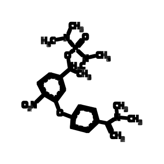 C=C(c1ccc(Oc2cc(C(C)OP(=O)(N(C)C)N(C)C)ccc2[N+](=O)[O-])cc1)N(C)C